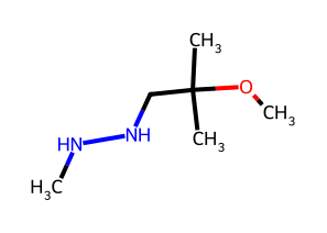 CNNCC(C)(C)OC